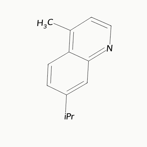 Cc1ccnc2cc(C(C)C)ccc12